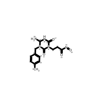 Cc1ccc(CN2C(=O)N(CCC(=O)N=O)C(=O)NC2N)cc1